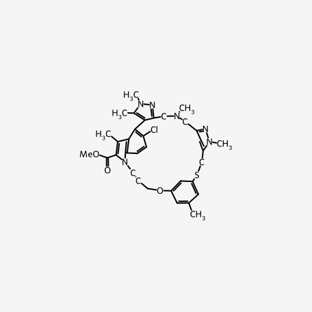 COC(=O)c1c(C)c2c3c(Cl)ccc2n1CCCOc1cc(C)cc(c1)SCc1cc(nn1C)CN(C)Cc1nn(C)c(C)c1-3